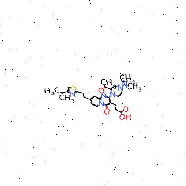 CC(=O)C1CN(N(C)C)CCN1c1nc2cc(CCc3nc(C(C)C)cs3)ccn2c(=O)c1C=CC(=O)O